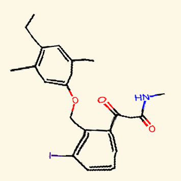 CCc1cc(C)c(OCc2c(I)cccc2C(=O)C(=O)NC)cc1C